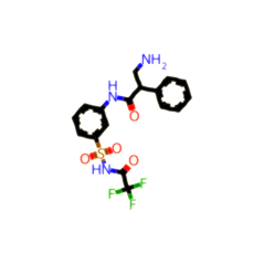 NCC(C(=O)Nc1cccc(S(=O)(=O)NC(=O)C(F)(F)F)c1)c1ccccc1